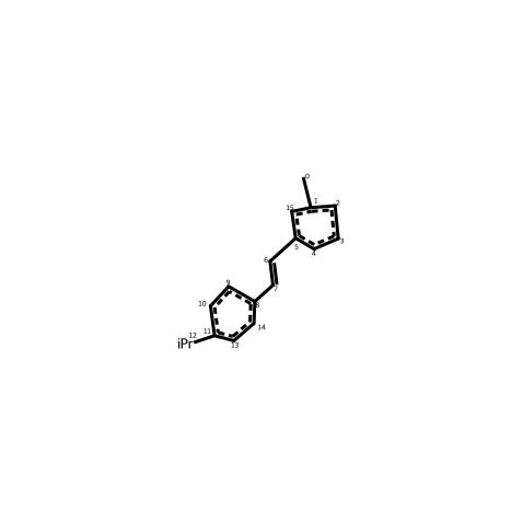 Cc1cccc(/C=C/c2ccc(C(C)C)cc2)c1